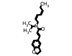 CC/C=C\C=C/CN(C(=O)/C=C/c1ccc2c(c1)CCO2)C(C)C